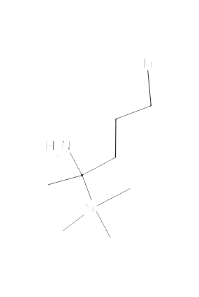 [Li][CH2]CCC(C)(N)[Si](C)(C)C